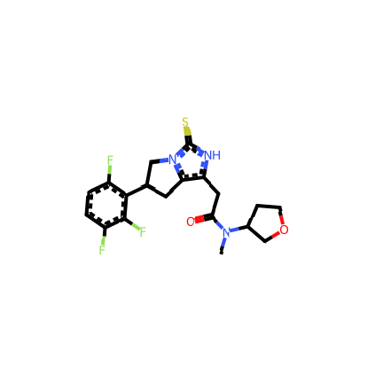 CN(C(=O)Cc1[nH]c(=S)n2c1CC(c1c(F)ccc(F)c1F)C2)C1CCOC1